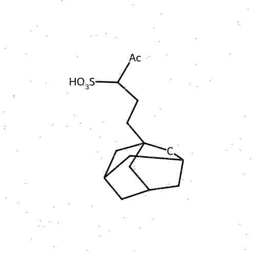 CC(=O)C(CCC12CC3CC(CC(C3)C1)C2)S(=O)(=O)O